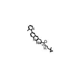 Cc1cccnc1-c1ccc2nc(N)c(CC(C)C(=O)NCCC3(C)CC3)cc2c1